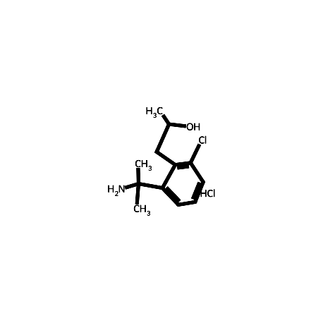 CC(O)Cc1c(Cl)cccc1C(C)(C)N.Cl